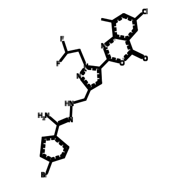 Cc1cc(Cl)cc2c(=O)oc(-c3cc(CN/N=C(\N)c4ccc(Br)cc4)nn3CC(F)F)nc12